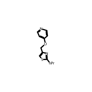 CCCc1nc(COc2ccncc2)cs1